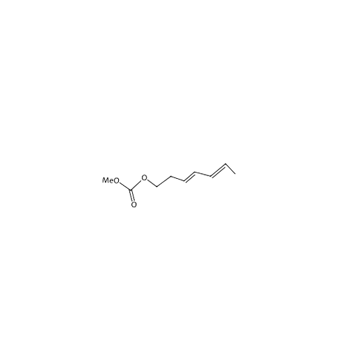 CC=CC=CCCOC(=O)OC